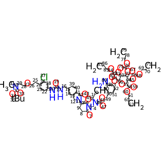 C#CCN(CN1C(=O)CCC(N2Cc3cc(CNC(=O)Nc4ccc(CCOCCN(C)C(=O)OC(C)(C)C)c(Cl)c4)ccc3C2=O)C1=O)C(=O)OCc1ccc(O[C@@H]2O[C@H](C(=O)OCC=C)[C@@H](OC(=O)OCC=C)[C@H](OC(=O)OCC=C)[C@H]2OC(=O)OCC=C)c(N)c1